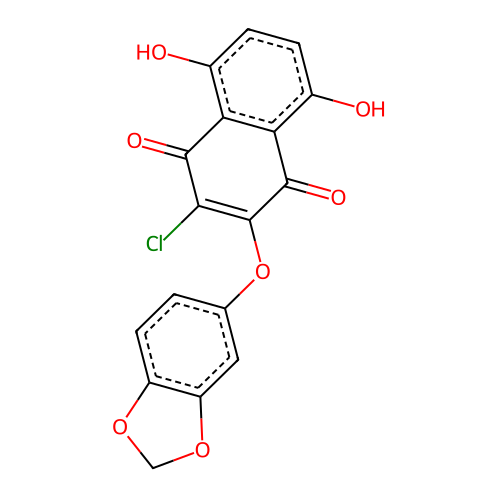 O=C1C(Cl)=C(Oc2ccc3c(c2)OCO3)C(=O)c2c(O)ccc(O)c21